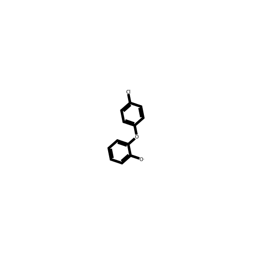 [O]c1ccccc1Oc1ccc(Cl)cc1